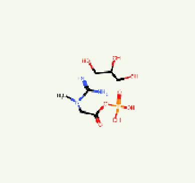 CN(CC(=O)OP(=O)(O)O)C(=N)N.OCC(O)CO